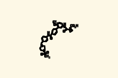 CS(=O)(=O)N1CCN(Cc2ccc(NC(=O)c3ccc(-c4cc(NC(=O)C5CCN5C(=O)O)ccc4OC(F)(F)F)cc3)cc2)CC1